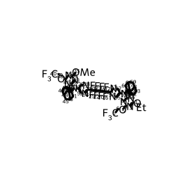 CCOc1nc(OCC(F)(F)F)nc(N(c2cnc(C(F)(F)C(F)(F)C(F)(F)C(F)(F)c3ncc(N(c4nc(OC)nc(OCC(F)(F)F)n4)C45CC6CC(CC(C6)C4)C5)cn3)nc2)C23CC4CC(CC(C4)C2)C3)n1